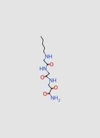 CCCCCNCC(=O)NCC(=O)NCC(=O)C(N)=O